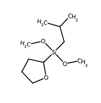 CO[Si](CC(C)C)(OC)C1CCCO1